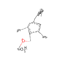 CC(C)c1cc(C(C)C)c(COS(=O)(=O)O)c(C(C)C)c1